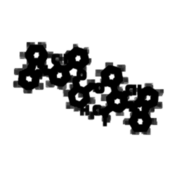 Cc1c(-c2ccccc2OCC2CCCCC2COc2ccccc2-c2cc(C(C)F)cc(-n3c4ccccc4c4ccccc43)c2C)cccc1-n1c2ccccc2c2ccccc21